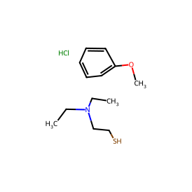 CCN(CC)CCS.COc1ccccc1.Cl